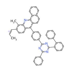 C/C=C\c1ccc2c(-c3ccc(-c4nc(-c5ccccc5)nc(-c5ccccc5-c5ccccc5)n4)cc3)c3ccc4ccccc4c3nc2c1C